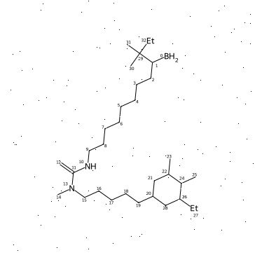 BC(CCCCCCCCNC(=C)N(C)CCCCCC1CC(C)C(C)C(CC)C1)C(C)(C)CC